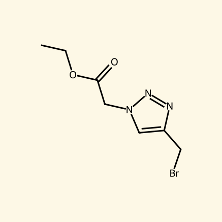 CCOC(=O)Cn1cc(CBr)nn1